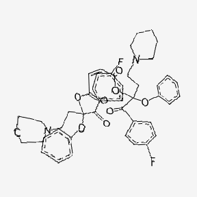 O=C(/C=C\C(=O)OC(CCN1CCCCC1)(Oc1ccccc1)C(=O)c1ccc(F)cc1)OC(CCN1CCCCC1)(Oc1ccccc1)C(=O)c1ccc(F)cc1